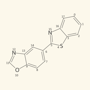 c1ccc2sc(-c3ccc4ocnc4c3)nc2c1